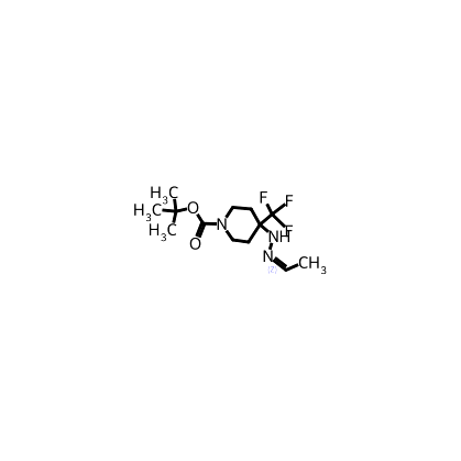 C/C=N\NC1(C(F)(F)F)CCN(C(=O)OC(C)(C)C)CC1